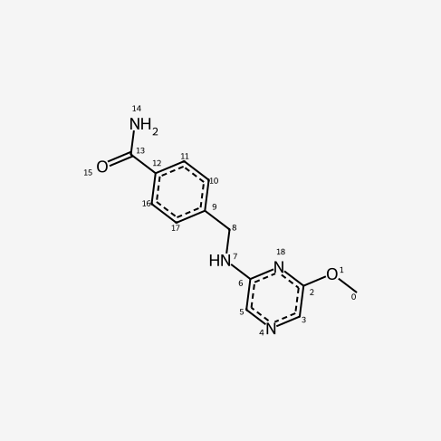 COc1cncc(NCc2ccc(C(N)=O)cc2)n1